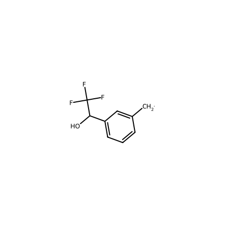 [CH2]c1cccc(C(O)C(F)(F)F)c1